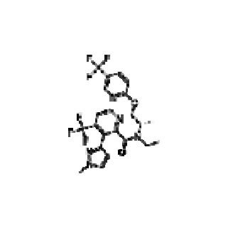 CCN(C(=O)c1nccc(C(F)(F)F)c1-c1ccn(C)n1)[C@@H](C)COc1ccc(C(F)(F)F)cn1